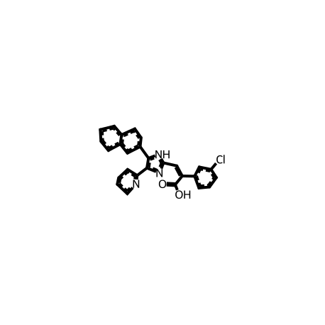 O=C(O)C(=Cc1nc(-c2ccccn2)c(-c2ccc3ccccc3c2)[nH]1)c1cccc(Cl)c1